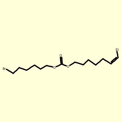 CC/C=C\CCCCCOC(=O)OCCCCCCBr